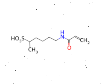 C=CC(=O)NCCCCC(C)S(=O)(=O)O